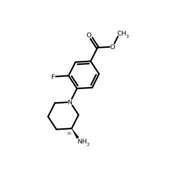 COC(=O)c1ccc(N2CCC[C@H](N)C2)c(F)c1